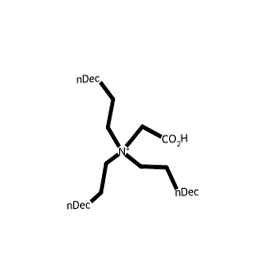 CCCCCCCCCCCC[N+](CCCCCCCCCCCC)(CCCCCCCCCCCC)CC(=O)O